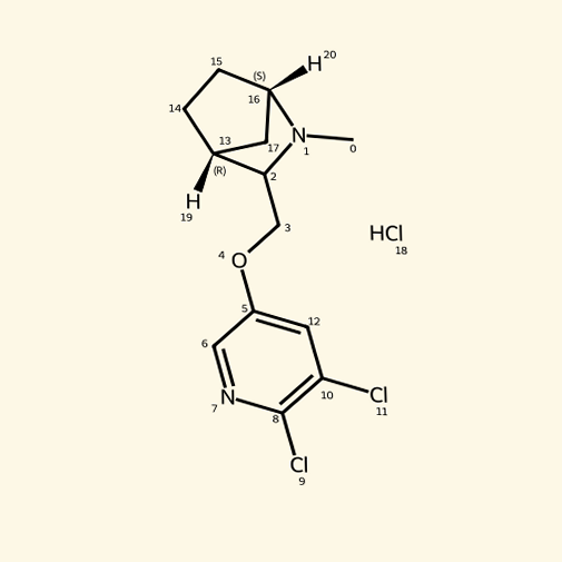 CN1C(COc2cnc(Cl)c(Cl)c2)[C@@H]2CC[C@H]1C2.Cl